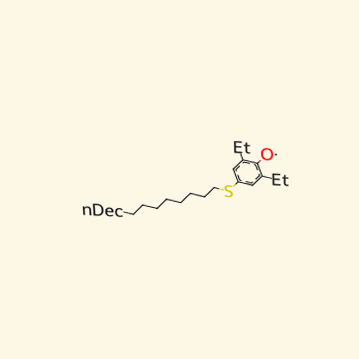 CCCCCCCCCCCCCCCCCCSc1cc(CC)c([O])c(CC)c1